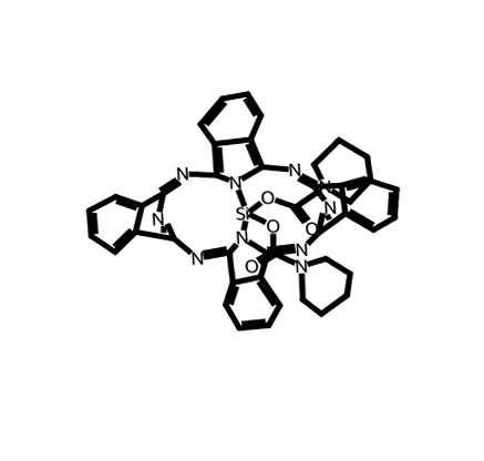 O=C(O[Si]1(OC(=O)N2CCCCC2)n2c3c4ccccc4c2/N=C2N=C(/N=c4/c5ccccc5/c(n41)=N/C1=NC(=N\3)/c3ccccc31)c1ccccc1\2)N1CCCCC1